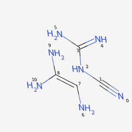 N#CNC(=N)N.NC=C(N)N